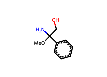 COC(N)(CO)c1ccccc1